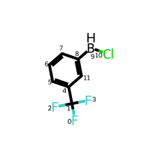 FC(F)(F)c1cccc(BCl)c1